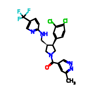 Cc1cc(C(=O)N2C[C@H](CNc3ccc(C(F)(F)F)cn3)[C@@H](c3ccc(Cl)c(Cl)c3)C2)cnn1